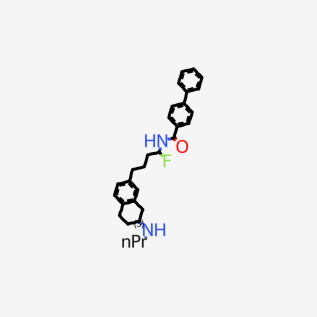 CCCN[C@H]1CCc2ccc(CCCC(F)NC(=O)c3ccc(-c4ccccc4)cc3)cc2C1